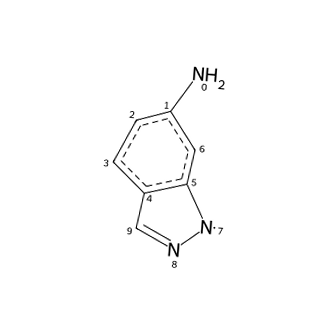 Nc1ccc2c(c1)[N]N=C2